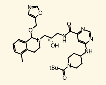 Cc1cccc2c1CCN(C[C@@H](O)CNC(=O)c1cc(NC3CCN(C(=O)C(C)(C)C)CC3)ncn1)C2OCc1cnco1